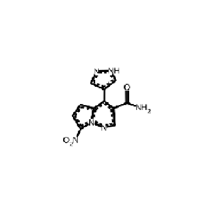 NC(=O)c1cnn2c([N+](=O)[O-])ccc2c1-c1cn[nH]c1